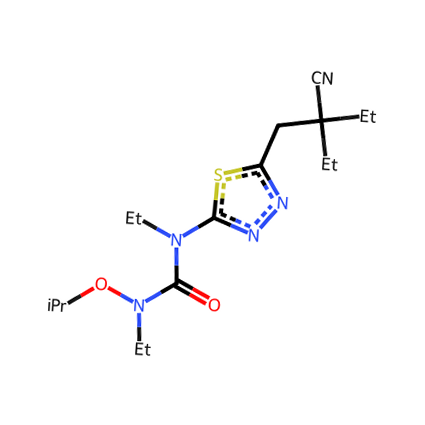 CCN(OC(C)C)C(=O)N(CC)c1nnc(CC(C#N)(CC)CC)s1